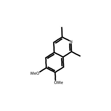 COc1cc2cc(C)nc(C)c2cc1OC